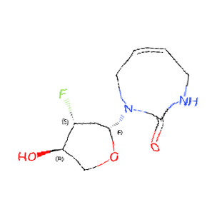 O=C1NCC=CCN1[C@@H]1OC[C@@H](O)[C@@H]1F